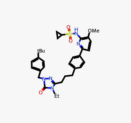 CCn1c(CCCc2ccc(-c3ccc(OC)c(NS(=O)(=O)C4CC4)n3)cc2)nn(Cc2ccc(C(C)(C)C)cc2)c1=O